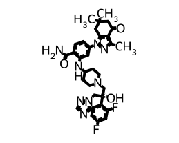 Cc1nn(-c2ccc(C(N)=O)c(NC3CCN(C[C@](O)(Cn4cncn4)c4ccc(F)cc4F)CC3)c2)c2c1C(=O)CC(C)(C)C2